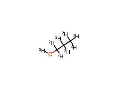 [2H]OC([2H])([2H])C([2H])([2H])C([2H])([2H])[2H]